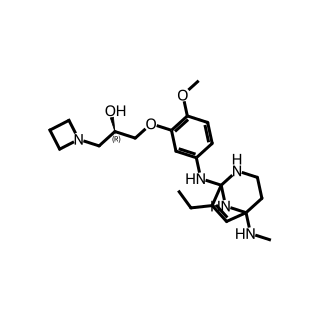 CCC1=CC2(NC)CCNC1(Nc1ccc(OC)c(OC[C@H](O)CN3CCC3)c1)N2